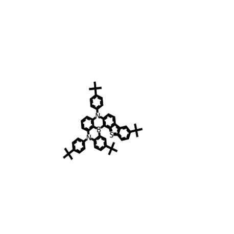 CC(C)(C)c1ccc(N2c3ccc(C(C)(C)C)cc3B3c4c2cccc4N(c2ccc(C(C)(C)C)cc2)c2ccc4c(sc5ccc(C(C)(C)C)cc54)c23)cc1